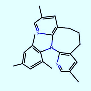 Cc1cc(C)c(N2c3ncc(C)cc3CCCc3cc(C)cnc32)c(C)c1